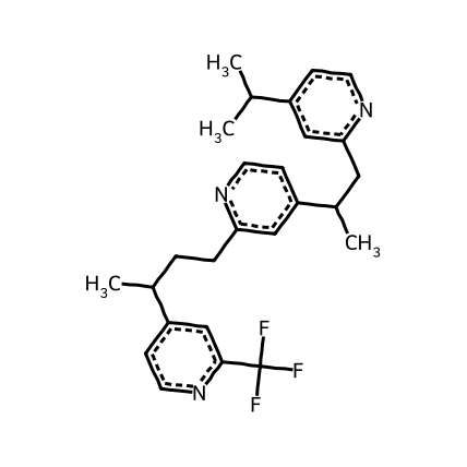 CC(C)c1ccnc(CC(C)c2ccnc(CCC(C)c3ccnc(C(F)(F)F)c3)c2)c1